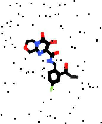 CNC(=O)c1cc(F)ccc1CNC(=O)c1nc2n(c(=O)c1O)CCOC2